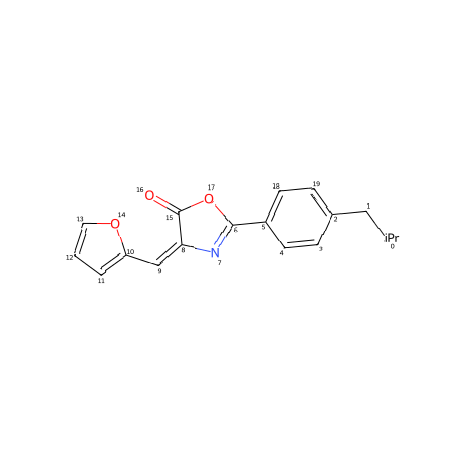 CC(C)Cc1ccc(C2=NC(=Cc3ccco3)C(=O)O2)cc1